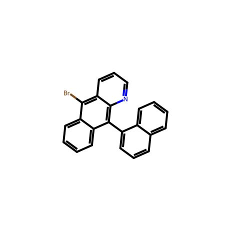 Brc1c2ccccc2c(-c2cccc3ccccc23)c2ncccc12